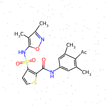 CC(=O)c1c(C)cc(NC(=O)c2sccc2S(=O)(=O)Nc2onc(C)c2C)cc1C